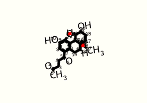 CC(=O)CCC(=O)c1cc(O)c2c3c1C[C@@H]1[C@@H]4C=C[C@H](O)[C@H](O2)[C@]34CCN1C